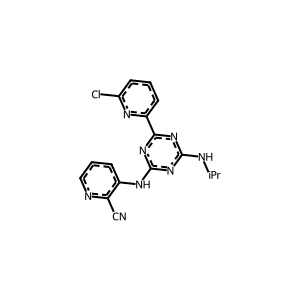 CC(C)Nc1nc(Nc2cccnc2C#N)nc(-c2cccc(Cl)n2)n1